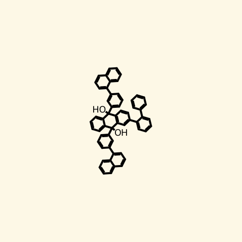 OC1(c2cccc(-c3cccc4ccccc34)c2)c2ccccc2C(O)(c2cccc(-c3cccc4ccccc34)c2)c2cc(-c3ccccc3-c3ccccc3)ccc21